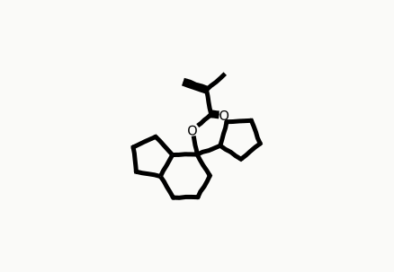 C=C(C)C(=O)OC1(C2CCCC2)CCCC2CCCC21